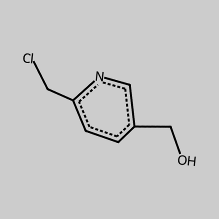 OCc1ccc(CCl)nc1